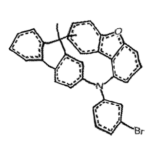 CC1(C)c2ccccc2-c2ccc(N(c3cccc(Br)c3)c3cccc4oc5ccccc5c34)cc21